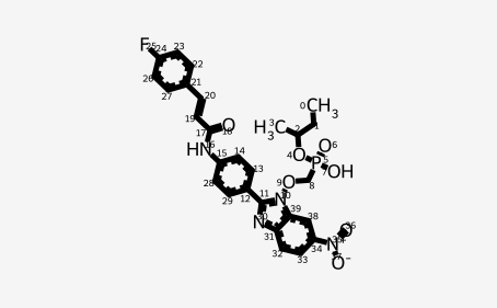 CCC(C)OP(=O)(O)COn1c(-c2ccc(NC(=O)C=Cc3ccc(F)cc3)cc2)nc2ccc([N+](=O)[O-])cc21